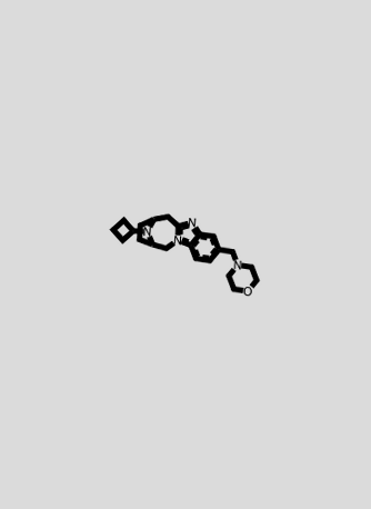 c1cc2c(cc1CN1CCOCC1)nc1n2CC2CCC(C1)N2C1CCC1